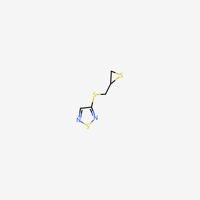 c1nsnc1SCC1CS1